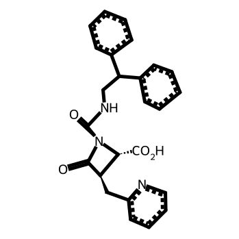 O=C(O)[C@@H]1[C@@H](Cc2ccccn2)C(=O)N1C(=O)NCC(c1ccccc1)c1ccccc1